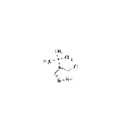 CC(C)(C)N1C=NNC1Cl